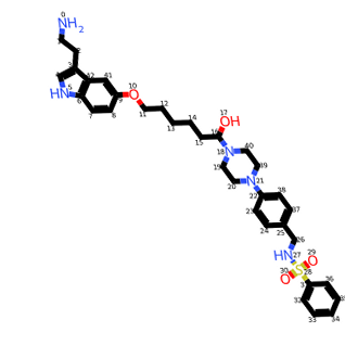 NCCc1c[nH]c2ccc(OCCCCCC(O)N3CCN(c4ccc(CNS(=O)(=O)c5ccccc5)cc4)CC3)cc12